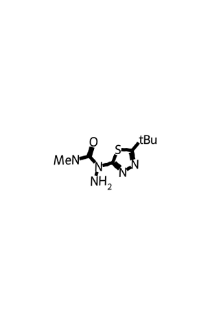 CNC(=O)N(N)c1nnc(C(C)(C)C)s1